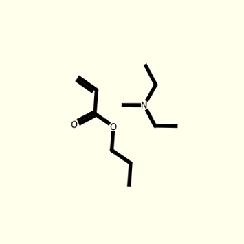 C=CC(=O)OCCC.CCN(C)CC